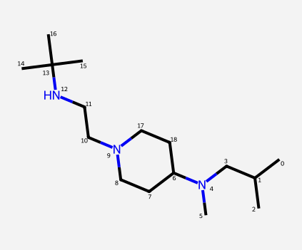 CC(C)CN(C)C1CCN(CCNC(C)(C)C)CC1